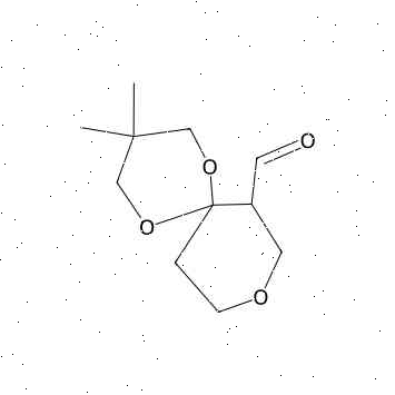 CC1(C)COC2(CCOCC2C=O)OC1